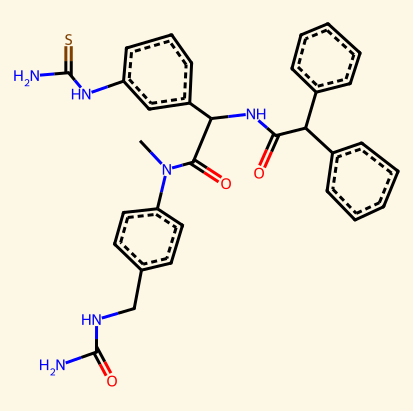 CN(C(=O)C(NC(=O)C(c1ccccc1)c1ccccc1)c1cccc(NC(N)=S)c1)c1ccc(CNC(N)=O)cc1